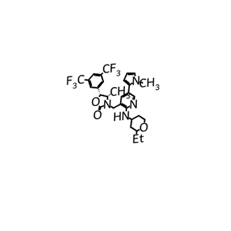 CCC1CC(Nc2ncc(-c3cccn3C)cc2CN2C(=O)O[C@H](c3cc(C(F)(F)F)cc(C(F)(F)F)c3)[C@@H]2C)CCO1